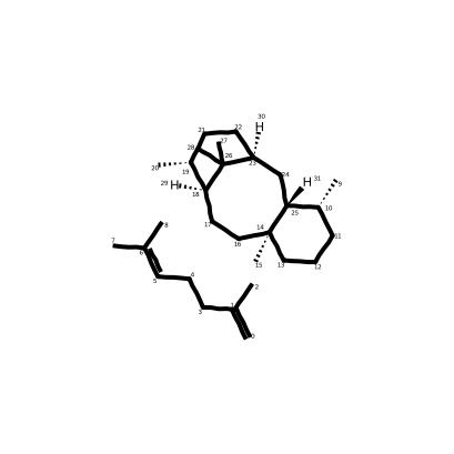 C=C(C)CCC=C(C)C.C[C@@H]1CCC[C@@]2(C)CC[C@H]3[C@H](C)CC[C@@H](C[C@H]12)C3(C)C